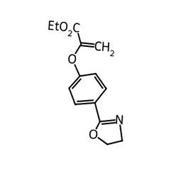 C=C(Oc1ccc(C2=NCCO2)cc1)C(=O)OCC